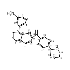 Nc1cccc(-c2cccc3cnc(Nc4ccc(C5CNCCO5)nc4)nc23)c1